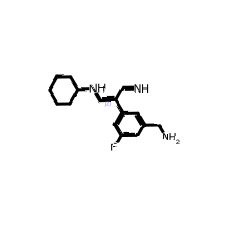 N=C/C(=C\NC1CCCCC1)c1cc(F)cc(CN)c1